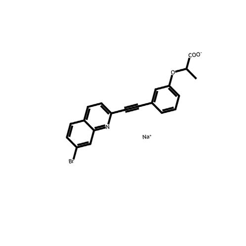 CC(Oc1cccc(C#Cc2ccc3ccc(Br)cc3n2)c1)C(=O)[O-].[Na+]